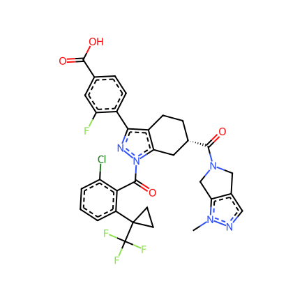 Cn1ncc2c1CN(C(=O)[C@H]1CCc3c(-c4ccc(C(=O)O)cc4F)nn(C(=O)c4c(Cl)cccc4C4(C(F)(F)F)CC4)c3C1)C2